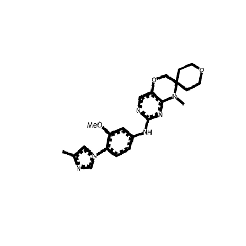 COc1cc(Nc2ncc3c(n2)N(C)C2(CCOCC2)CO3)ccc1-n1cnc(C)c1